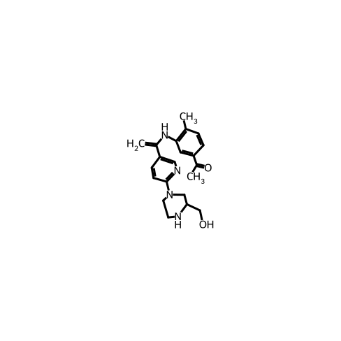 C=C(Nc1cc(C(C)=O)ccc1C)c1ccc(N2CCNC(CO)C2)nc1